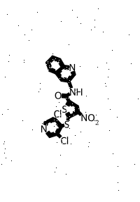 O=C(Nc1cnc2ccccc2c1)c1cc([N+](=O)[O-])c(Sc2c(Cl)cncc2Cl)s1